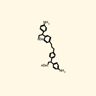 CCCCCCCCCCCC(c1ccc(N)cc1)c1ccc(CCCc2ccc(C(CCCCCCCCCCC)c3ccc(N)cc3)cc2)cc1